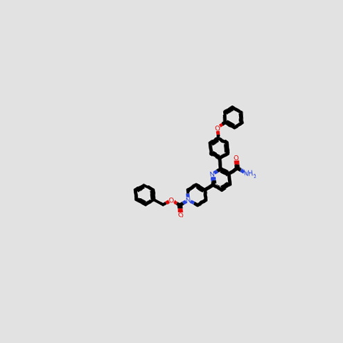 NC(=O)c1ccc(C2=CCN(C(=O)OCc3ccccc3)CC2)nc1-c1ccc(Oc2ccccc2)cc1